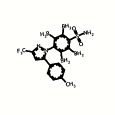 Bc1c(B)c(S(N)(=O)=O)c(B)c(B)c1-n1nc(C(F)(F)F)cc1-c1ccc(C)cc1